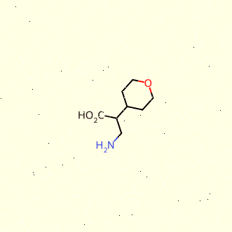 NCC(C(=O)O)C1CCOCC1